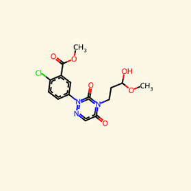 COC(=O)c1cc(-n2ncc(=O)n(CCC(O)OC)c2=O)ccc1Cl